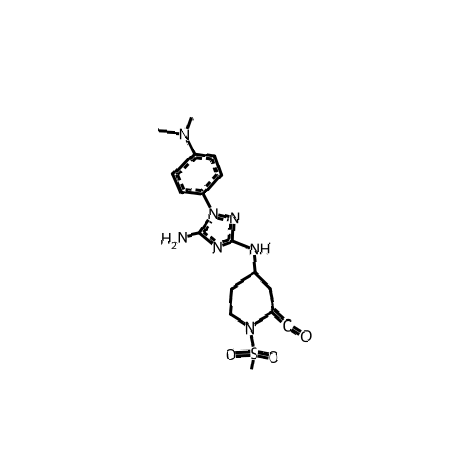 CN(C)c1ccc(-n2nc(NC3CCN(S(C)(=O)=O)C(=C=O)C3)nc2N)cc1